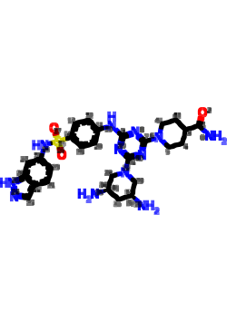 NC(=O)C1CCN(c2nc(Nc3ccc(S(=O)(=O)Nc4ccc5cn[nH]c5c4)cc3)nc(N3C[C@H](N)C[C@H](N)C3)n2)CC1